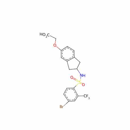 O=C(O)COc1ccc2c(c1)CC(NS(=O)(=O)c1ccc(Br)cc1C(F)(F)F)C2